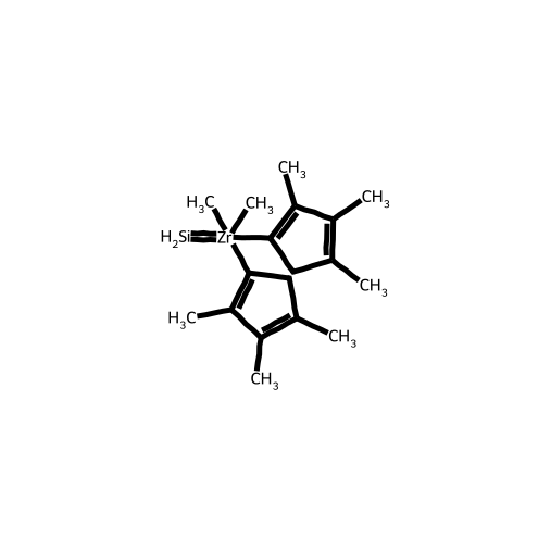 CC1=C(C)C(C)=[C]([Zr]([CH3])([CH3])(=[SiH2])[C]2=C(C)C(C)=C(C)C2)C1